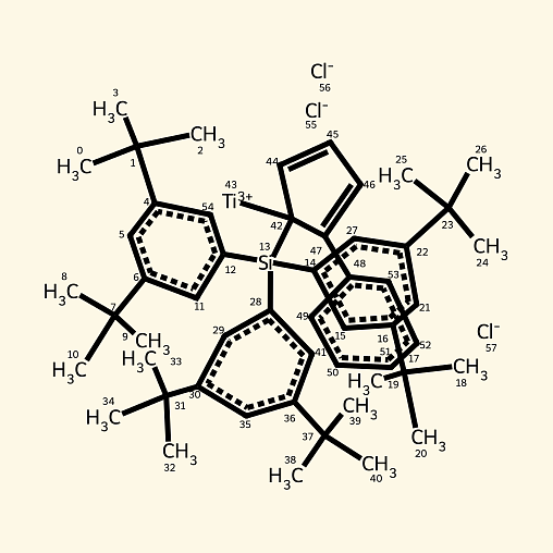 CC(C)(C)c1cc(C(C)(C)C)cc([Si](c2cc(C(C)(C)C)cc(C(C)(C)C)c2)(c2cc(C(C)(C)C)cc(C(C)(C)C)c2)[C]2([Ti+3])C=CC=C2c2ccccc2)c1.[Cl-].[Cl-].[Cl-]